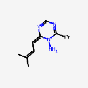 CC(C)=C/C=C1/N=CN=C(C(C)C)N1N